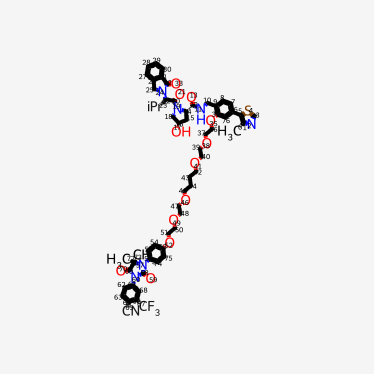 Cc1ncsc1-c1ccc(CNC(=O)[C@@H]2C[C@@H](O)CN2C(=O)C(C(C)C)N2Cc3ccccc3C2=O)c(OCCOCCOCCCCOCCOCCOc2ccc(N3C(=O)N(c4ccc(C#N)c(C(F)(F)F)c4)C(=O)C3(C)C)cc2)c1